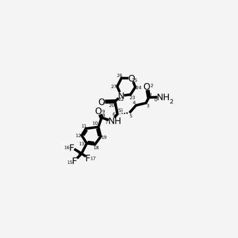 NC(=O)CCC[C@H](NC(=O)c1ccc(C(F)(F)F)cc1)C(=O)N1CCOCC1